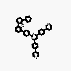 c1ccc(-c2cccc3c2oc2c(-c4ccc(-c5nc(-c6ccc(-c7ccncc7)cc6)cc(-c6ccc(-c7cccnc7)cc6)n5)cc4)cccc23)cc1